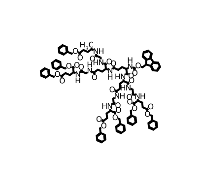 CC(CCC(=O)OCc1ccccc1)NC(=O)CNC(=O)C(CCC(=O)NCC(=O)NC(CCC(=O)OCc1ccccc1)C(=O)OCc1ccccc1)NC(=O)CCC(NC(=O)OCC1c2ccccc2-c2ccccc21)C(=O)NC(CCC(=O)NCC(=O)NC(CCC(=O)OCc1ccccc1)C(=O)OCc1ccccc1)C(=O)NCC(=O)NC(CCC(=O)OCc1ccccc1)C(=O)OCc1ccccc1